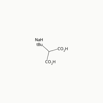 CC(C)(C)C(C(=O)O)C(=O)O.[NaH]